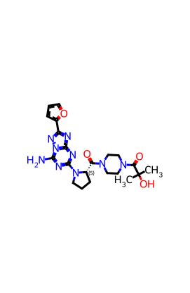 CC(C)(O)C(=O)N1CCN(C(=O)[C@@H]2CCCN2c2nc(N)n3nc(-c4ccco4)nc3n2)CC1